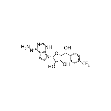 N/N=c1\nc[nH]c2c1ccn2[C@@H]1O[C@H]([C@H](O)c2ccc(C(F)(F)F)cc2)[C@@H](O)[C@H]1O